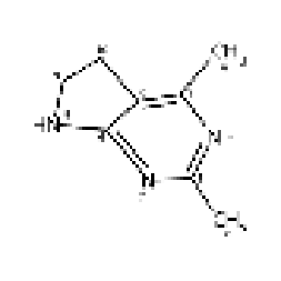 Cc1nc(C)c2c(n1)NCC2